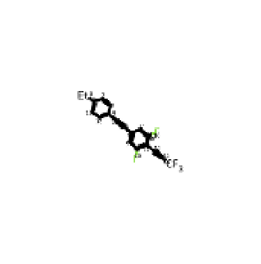 CCc1ccc(C#Cc2cc(F)c(C#CC(F)(F)F)c(F)c2)cc1